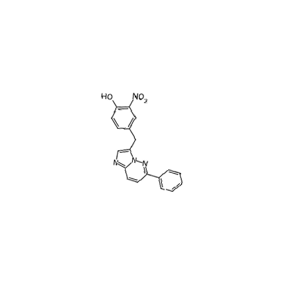 O=[N+]([O-])c1cc(Cc2cnc3ccc(-c4ccccc4)nn23)ccc1O